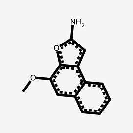 COc1cc2ccccc2c2cc(N)oc12